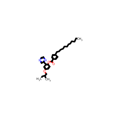 CCCCCCCCCCCCc1ccc(C(=O)Oc2ccc(OCC(C)CC)cc2-c2cnccn2)cc1